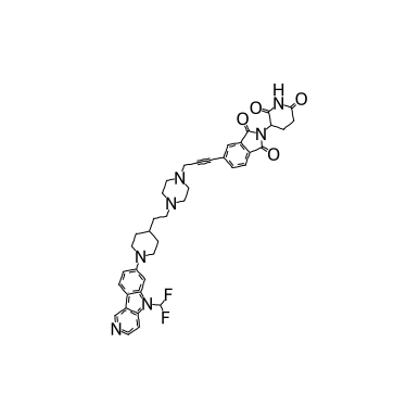 O=C1CCC(N2C(=O)c3ccc(C#CCN4CCN(CCC5CCN(c6ccc7c8cnccc8n(C(F)F)c7c6)CC5)CC4)cc3C2=O)C(=O)N1